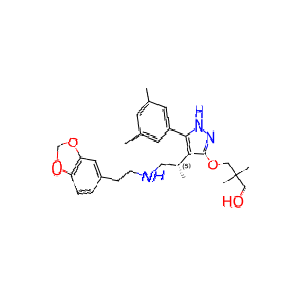 Cc1cc(C)cc(-c2[nH]nc(OCC(C)(C)CO)c2[C@H](C)CNCCc2ccc3c(c2)OCO3)c1